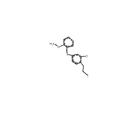 COc1ccccc1Sc1ccc(CCI)c(Cl)c1